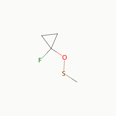 CSOC1(F)CC1